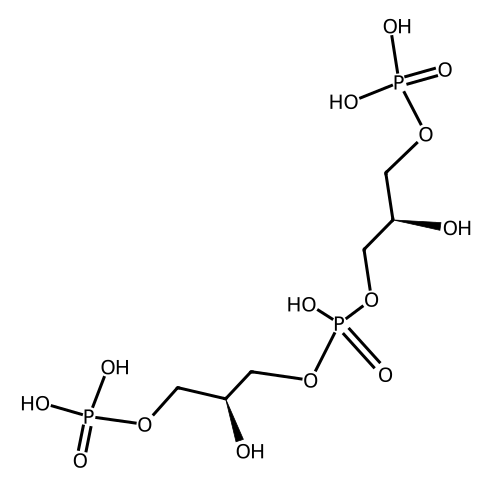 O=P(O)(O)OC[C@@H](O)COP(=O)(O)OC[C@@H](O)COP(=O)(O)O